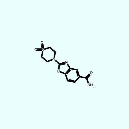 NC(=O)c1ccc2oc(N3CCS(=O)(=O)CC3)nc2c1